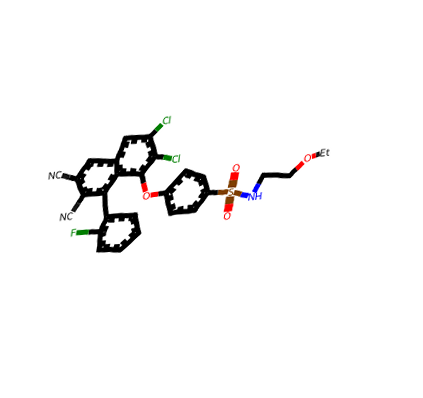 CCOCCNS(=O)(=O)c1ccc(Oc2c(Cl)c(Cl)cc3cc(C#N)c(C#N)c(-c4ccccc4F)c23)cc1